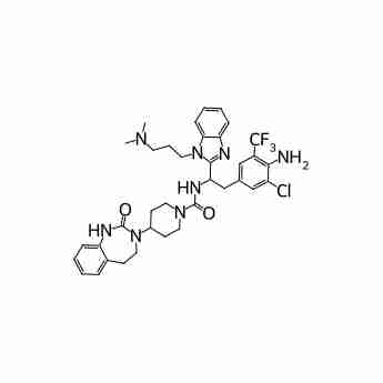 CN(C)CCCn1c(C(Cc2cc(Cl)c(N)c(C(F)(F)F)c2)NC(=O)N2CCC(N3CCc4ccccc4NC3=O)CC2)nc2ccccc21